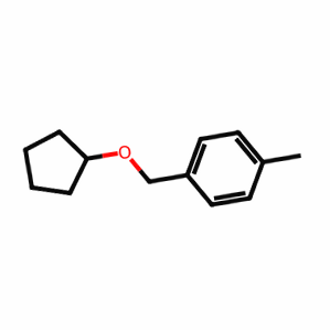 Cc1ccc(COC2CCCC2)cc1